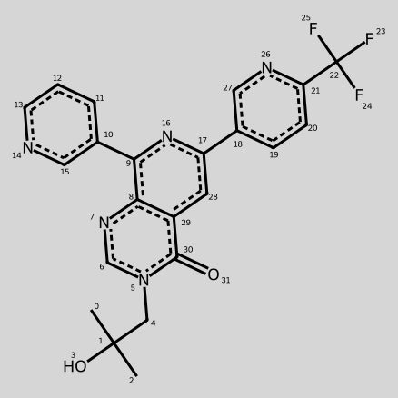 CC(C)(O)Cn1cnc2c(-c3cccnc3)nc(-c3ccc(C(F)(F)F)nc3)cc2c1=O